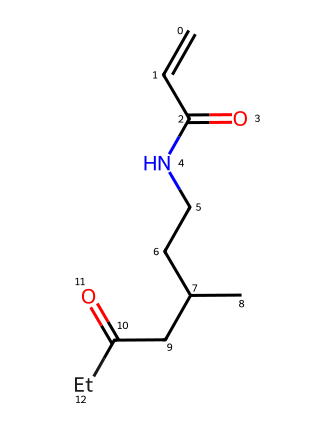 C=CC(=O)NCCC(C)CC(=O)CC